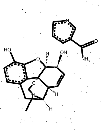 CN1CC[C@]23c4c5ccc(O)c4O[C@H]2[C@@H](O)C=C[C@H]3[C@H]1C5.NC(=O)c1cccnc1